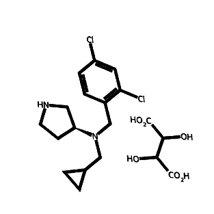 Clc1ccc(CN(CC2CC2)[C@H]2CCNC2)c(Cl)c1.O=C(O)C(O)C(O)C(=O)O